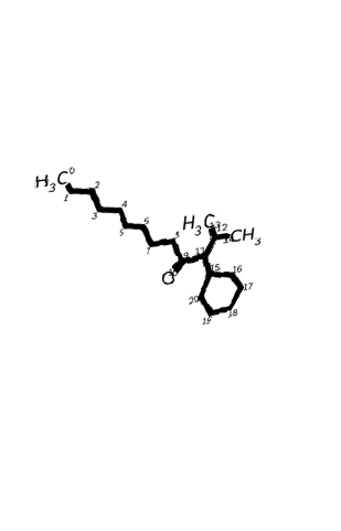 CCCCCCCCCC(=O)C(C(C)C)C1CCCCC1